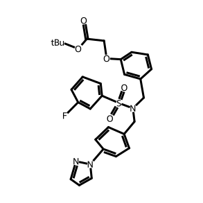 CC(C)(C)OC(=O)COc1cccc(CN(Cc2ccc(-n3cccn3)cc2)S(=O)(=O)c2cccc(F)c2)c1